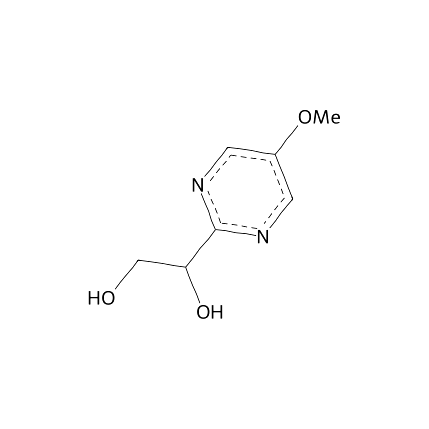 COc1cnc(C(O)CO)nc1